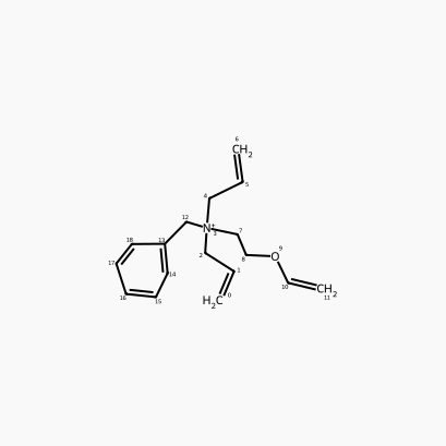 C=CC[N+](CC=C)(CCOC=C)Cc1ccccc1